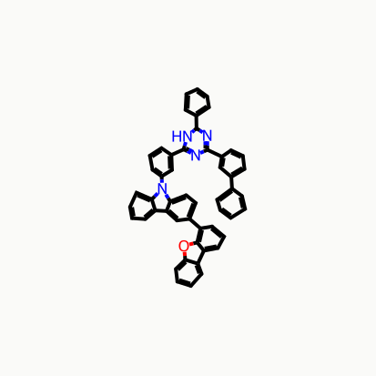 c1ccc(-c2cccc(C3=NC(c4ccccc4)NC(c4cccc(-n5c6ccccc6c6cc(-c7cccc8c7oc7ccccc78)ccc65)c4)=N3)c2)cc1